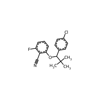 CC(C)(C)C(Oc1cccc(F)c1C#N)c1ccc(Cl)cc1